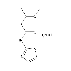 COC(C)CC(=O)Nc1nccs1.Cl.N